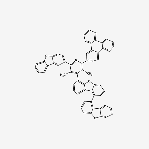 Cc1c(-c2ccc3oc4ccccc4c3c2)nc(-c2ccc3c4ccccc4c4ccccc4c3c2)c(C)c1-c1cccc2c1oc1cccc(-c3cccc4oc5ccccc5c34)c12